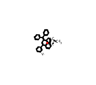 C1=CCC(C(C=C(c2ccccc2)c2ccccc2)=C(c2ccccc2)c2ccccc2)=C1.CP(C)C.[V]